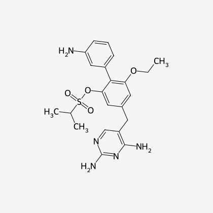 CCOc1cc(Cc2cnc(N)nc2N)cc(OS(=O)(=O)C(C)C)c1-c1cccc(N)c1